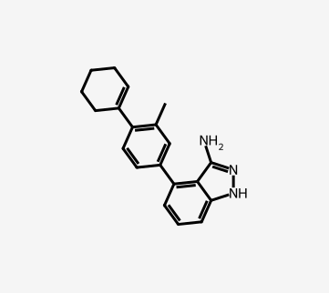 Cc1cc(-c2cccc3[nH]nc(N)c23)ccc1C1=CCCCC1